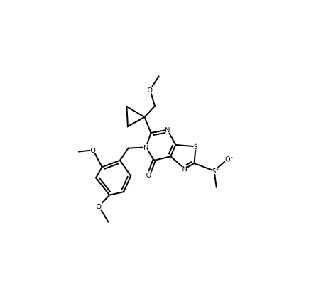 COCC1(c2nc3sc([S+](C)[O-])nc3c(=O)n2Cc2ccc(OC)cc2OC)CC1